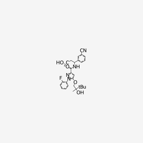 CC(C)(C)C(C)(O)COc1cc(C(=O)NC(CC(=O)O)c2cccc(C#N)c2)nn1-c1ccccc1F